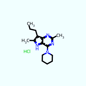 CCCc1c(C)[nH]c2c(N3CCCCC3)nc(C)nc12.Cl